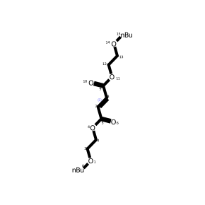 CCCCOCCOC(=O)/C=C/C(=O)OCCOCCCC